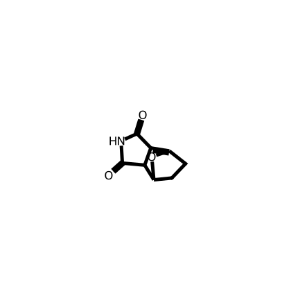 O=C1NC(=O)C2C1=C1CCC2O1